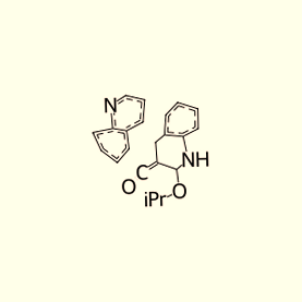 CC(C)OC1Nc2ccccc2CC1=C=O.c1ccc2ncccc2c1